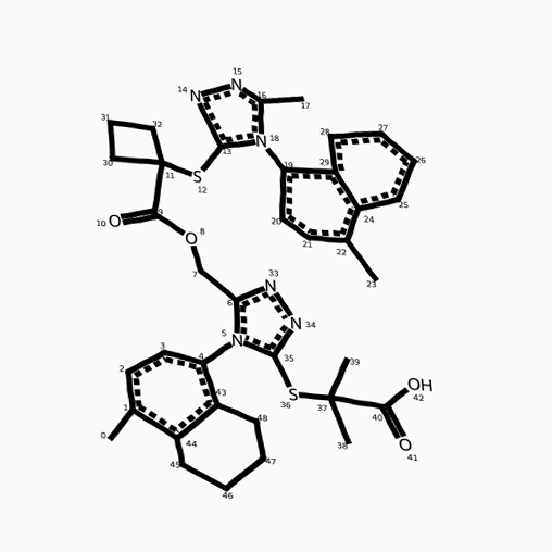 Cc1ccc(-n2c(COC(=O)C3(Sc4nnc(C)n4-c4ccc(C)c5ccccc45)CCC3)nnc2SC(C)(C)C(=O)O)c2c1CCCC2